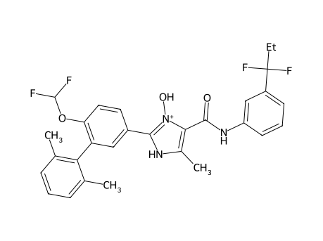 CCC(F)(F)c1cccc(NC(=O)c2c(C)[nH]c(-c3ccc(OC(F)F)c(-c4c(C)cccc4C)c3)[n+]2O)c1